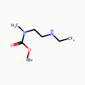 CN(CCNCC(F)(F)F)C(=O)OC(C)(C)C